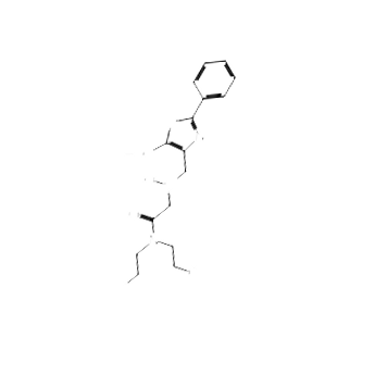 CCCN(CCC)C(=O)C[S+]([O-])Cc1nc(-c2ccccc2)oc1C